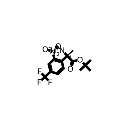 CC(C)(C)OC(=O)[C@@](C)(N)c1ccc(C(F)(F)F)cc1[N+](=O)[O-]